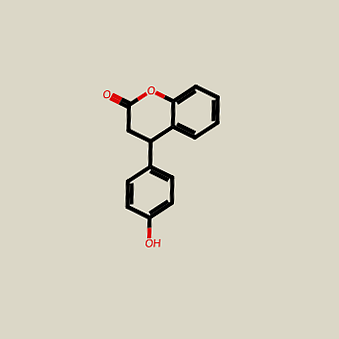 O=C1CC(c2ccc(O)cc2)c2ccccc2O1